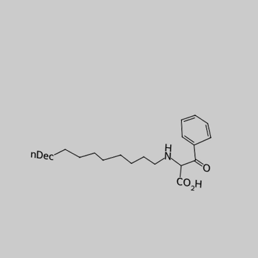 CCCCCCCCCCCCCCCCCCNC(C(=O)O)C(=O)c1ccccc1